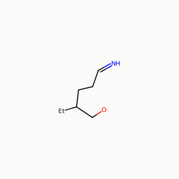 CCC(C[O])CCC=N